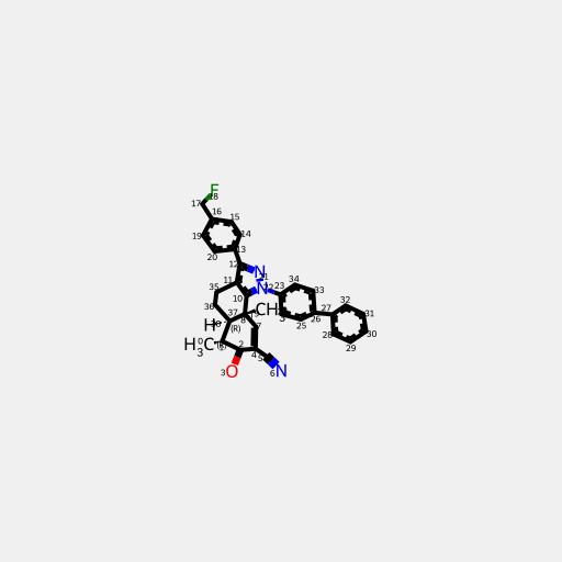 C[C@H]1C(=O)C(C#N)=C[C@@]2(C)c3c(c(-c4ccc(CF)cc4)nn3-c3ccc(-c4ccccc4)cc3)CC[C@H]12